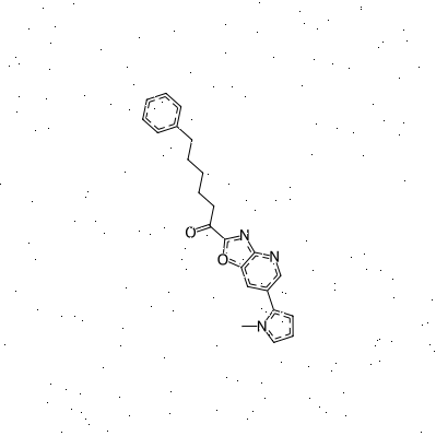 Cn1cccc1-c1cnc2nc(C(=O)CCCCCc3ccccc3)oc2c1